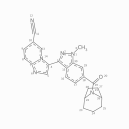 Cn1nc(-c2cnc3ccc(C#N)cn23)c2ccc(C(=O)N3C4CCCC3CC4)cc21